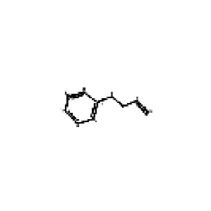 [CH]=CCCc1ccccc1